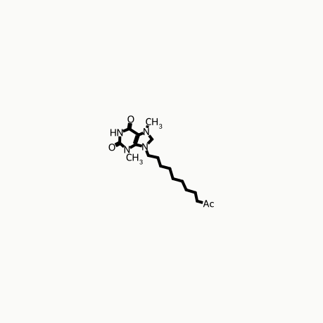 CC(=O)CCCCCCCCCN1CN(C)c2c1n(C)c(=O)[nH]c2=O